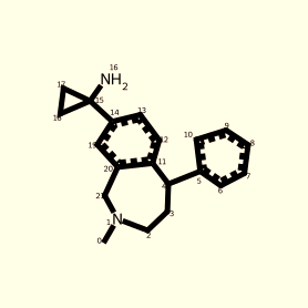 CN1CCC(c2ccccc2)c2ccc(C3(N)CC3)cc2C1